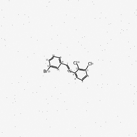 Clc1cccc(N=Cc2cccc(Br)c2)c1Cl